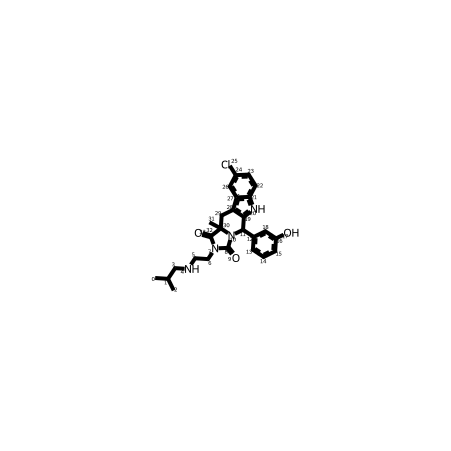 CC(C)CNCCN1C(=O)N2C(c3cccc(O)c3)c3[nH]c4ccc(Cl)cc4c3CC2(C)C1=O